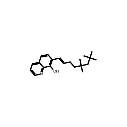 CC(C)(C)CC(C)(C)CCC=Cc1ccc2cccnc2c1O